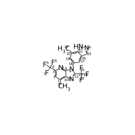 Cc1cc(C(F)(F)F)nc2c1nc(C(F)(F)F)n2-c1cc(C)c2[nH]ncc2c1